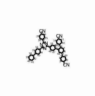 N#Cc1ccc(-c2ccc(-c3ccc(C#N)cc3)c(-c3ccc(-c4nc(-c5ccc(C#N)cc5)nc(-c5ccc(-c6ccccc6)cc5)n4)cc3)c2)cc1